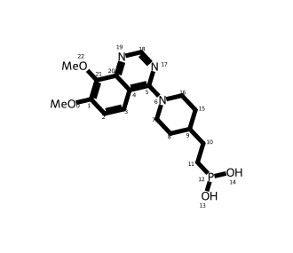 COc1ccc2c(N3CCC(CCP(O)O)CC3)ncnc2c1OC